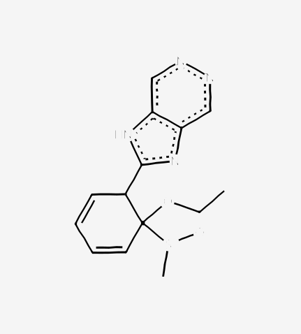 CCOC1([S+](C)[O-])C=CC=CC1c1nc2cnncc2[nH]1